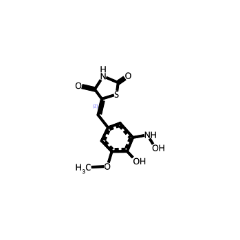 COc1cc(/C=C2\SC(=O)NC2=O)cc(NO)c1O